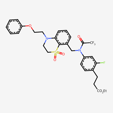 CCOC(=O)CCc1ccc(N(Cc2cccc3c2S(=O)(=O)CCN3CCOc2ccccc2)C(=O)C(F)(F)F)cc1F